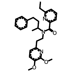 CCc1cccc(C(=O)N(CCc2ccc(OC)c(OC)n2)C(C)CCc2ccccc2)n1